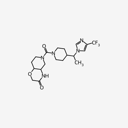 CC(C1CCN(C(=O)N2CCC3OCC(=O)NC3C2)CC1)n1cnc(C(F)(F)F)c1